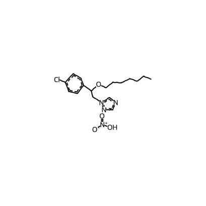 CCCCCCCOC(Cn1cncn1)c1ccc(Cl)cc1.O=[N+]([O-])O